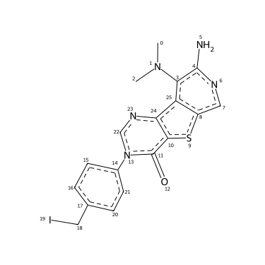 CN(C)c1c(N)ncc2sc3c(=O)n(-c4ccc(CI)cc4)cnc3c12